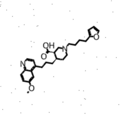 COc1ccc2nccc(CCC[C@@H]3CCN(CCCCc4ccco4)C[C@@H]3C(=O)O)c2c1